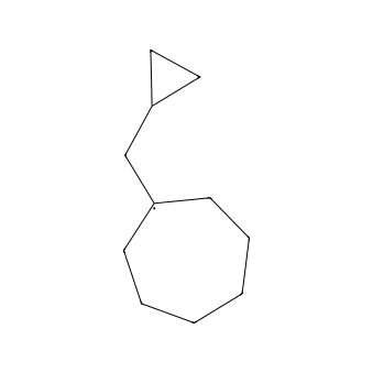 C1CCC[C](CC2CC2)CC1